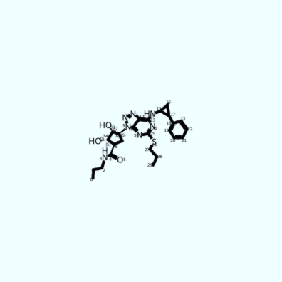 CCCNC(=O)[C@@H]1C[C@H](n2nnc3c(NC4CC4c4ccccc4)nc(SCCC)nc32)[C@@H](O)[C@H]1O